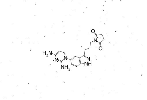 NC1=CCN(c2ccc3[nH]nc(CCCN4C(=O)CCC4=O)c3c2)C(N)=N1